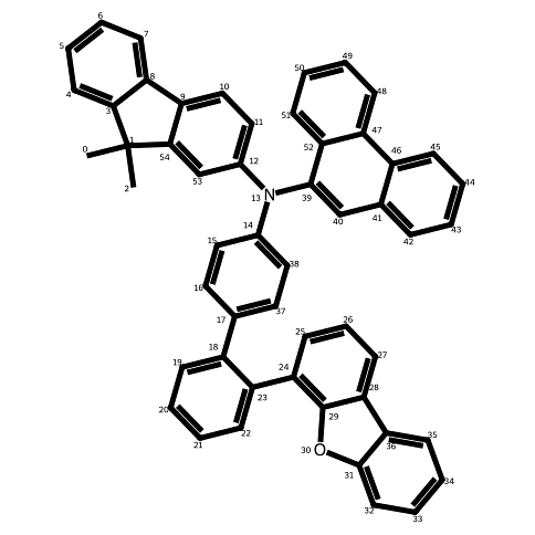 CC1(C)c2ccccc2-c2ccc(N(c3ccc(-c4ccccc4-c4cccc5c4oc4ccccc45)cc3)c3cc4ccccc4c4ccccc34)cc21